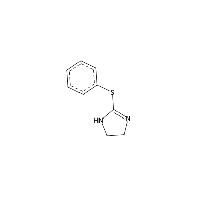 c1ccc(SC2=NCCN2)cc1